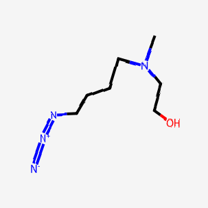 CN(CCO)CCCCN=[N+]=[N-]